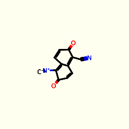 [C-]#[N+]C1=C2C=CC(=O)C(C#N)=C2C=CC1=O